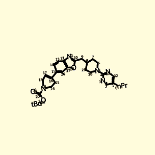 CCCc1cnc(N2CCC(Cc3nc4ccc(C5=CCN(C(=O)OC(C)(C)C)CC5)cc4o3)CC2)nc1